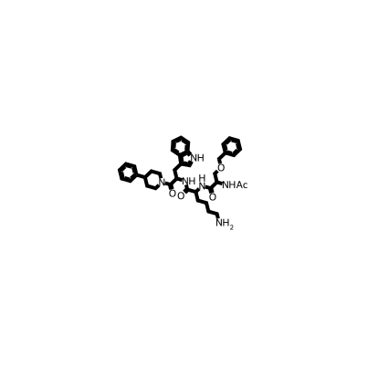 CC(=O)NC(COCc1ccccc1)C(=O)NC(CCCCN)C(=O)NC(Cc1c[nH]c2ccccc12)C(=O)N1CCC(c2ccccc2)CC1